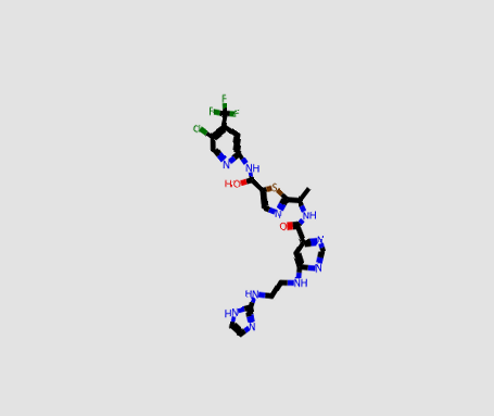 CC(NC(=O)c1cc(NCCNc2ncc[nH]2)ncn1)c1ncc(C(O)Nc2cc(C(F)(F)F)c(Cl)cn2)s1